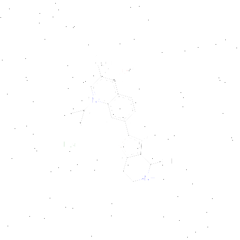 Br.CC1NCCc2sc(-c3ccc4c(=O)c(C(=O)O)cn(C5CC5)c4c3)cc21